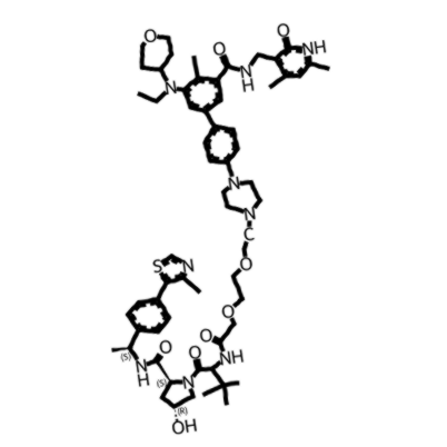 CCN(c1cc(-c2ccc(N3CCN(CCOCCOCC(=O)NC(C(=O)N4C[C@H](O)C[C@H]4C(=O)N[C@@H](C)c4ccc(-c5scnc5C)cc4)C(C)(C)C)CC3)cc2)cc(C(=O)NCc2c(C)cc(C)[nH]c2=O)c1C)C1CCOCC1